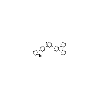 Brc1ccccc1-c1ccc(-c2cc(-c3ccc4c5ccccc5c5ccccc5c4c3)ccn2)cc1